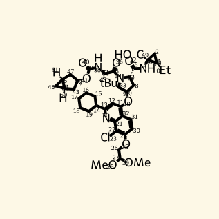 CC[C@@H]1C[C@]1(NC(=O)[C@@H]1C[C@@H](Oc2cc(C3CCCCC3)nc3c(Cl)c(OCC(OC)OC)ccc23)CN1C(=O)[C@@H](NC(=O)O[C@@H]1C[C@@H]2C[C@@H]2C1)C(C)(C)C)C(=O)O